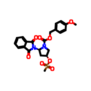 COc1ccc(COC(=O)N2C[C@H](OS(C)(=O)=O)C[C@H]2N2C(=O)c3ccccc3C2=O)cc1